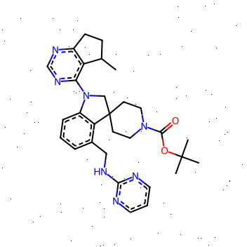 CC1CCc2ncnc(N3CC4(CCN(C(=O)OC(C)(C)C)CC4)c4c(CNc5ncccn5)cccc43)c21